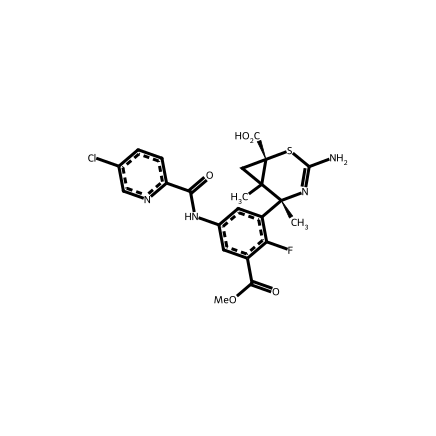 COC(=O)c1cc(NC(=O)c2ccc(Cl)cn2)cc([C@@]2(C)N=C(N)S[C@@]3(C(=O)O)CC32C)c1F